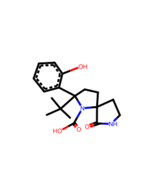 CC(C)(C)C1(c2ccccc2O)CCC2(CCNC2=O)N1C(=O)O